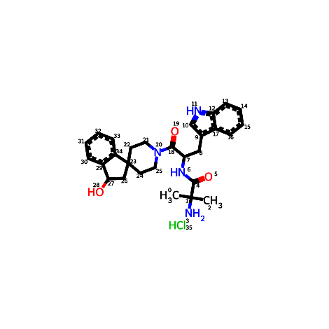 CC(C)(N)C(=O)NC(Cc1c[nH]c2ccccc12)C(=O)N1CCC2(CC1)CC(O)c1ccccc12.Cl